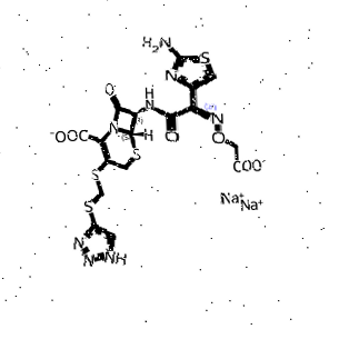 Nc1nc(/C(=N/OCC(=O)[O-])C(=O)N[C@@H]2C(=O)N3C(C(=O)[O-])=C(SCSc4c[nH]nn4)CS[C@@H]23)cs1.[Na+].[Na+]